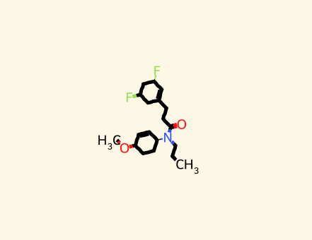 CCCN(C(=O)CCC1=C[C@@H](F)CC(F)C1)[C@H]1C=CC(OC)CC1